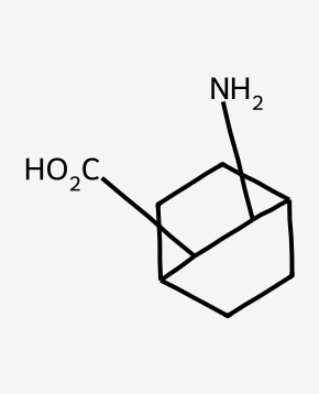 NC1C2CCC(CC2)C1C(=O)O